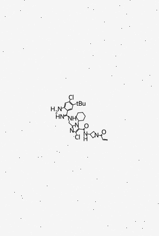 C=CC(=O)N1CC(NC(=O)c2c(Cl)nc(CNC(=N)c3cc(C(C)(C)C)c(Cl)cc3N)n2C2CCCCC2)C1